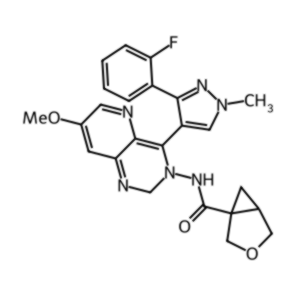 COc1cnc2c(c1)=NCN(NC(=O)C13COCC1C3)C=2c1cn(C)nc1-c1ccccc1F